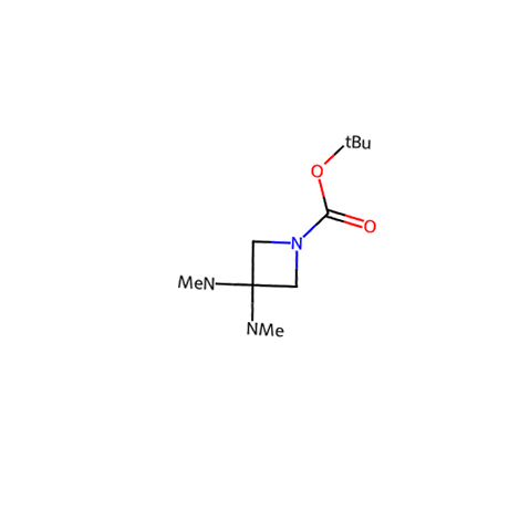 CNC1(NC)CN(C(=O)OC(C)(C)C)C1